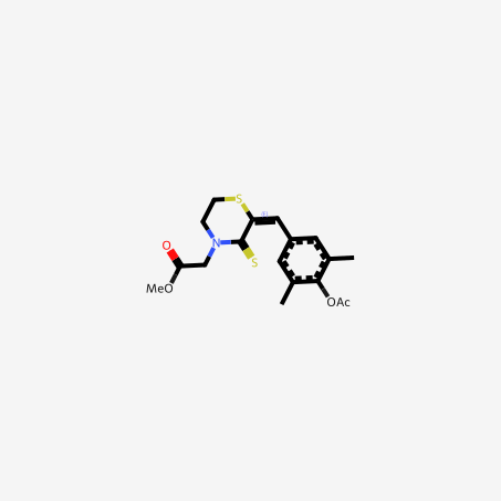 COC(=O)CN1CCS/C(=C/c2cc(C)c(OC(C)=O)c(C)c2)C1=S